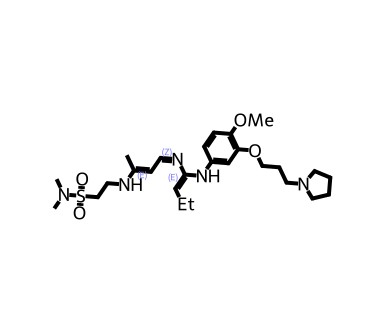 CC/C=C(/N=C\C=C(/C)NCCS(=O)(=O)N(C)C)Nc1ccc(OC)c(OCCCN2CCCC2)c1